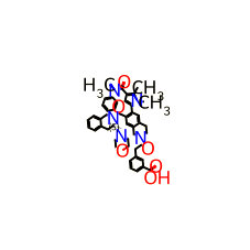 Cc1c(C(=O)N(C)c2ccccc2)cc(-c2cc3c(cc2C(=O)N2Cc4ccccc4C[C@H]2CN2CCOCC2)CN(C(=O)Cc2cccc(C(=O)O)c2)CC3)n1C